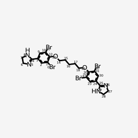 Brc1cc(C2=NCCN2)cc(Br)c1OCCCCCOc1c(Br)cc(C2=NCCN2)cc1Br